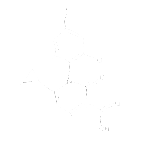 O=C(O)c1ccc(C2CC2)n(-c2ccc(F)cc2Cl)c1=O